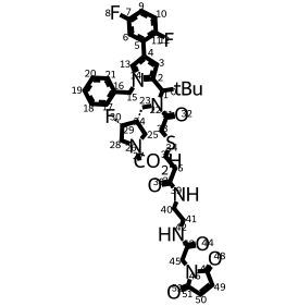 CC(C)(C)C(c1cc(-c2cc(F)ccc2F)cn1Cc1ccccc1)N(C[C@@H]1CN(C(=O)O)C[C@@H]1F)C(=O)CSCCC(=O)NCCNC(=O)CN1C(=O)C=CC1=O